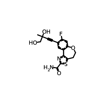 CC(O)(C#Cc1cc2c(cc1F)OCCc1sc(C(N)=O)nc1-2)CO